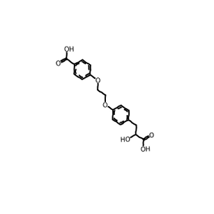 O=C(O)c1ccc(OCCOc2ccc(CC(O)C(=O)O)cc2)cc1